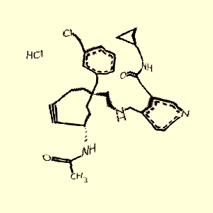 CC(=O)N[C@@H]1C#CC[C@](CNc2ccncc2C(=O)NC2CC2)(c2cccc(Cl)c2)C1.Cl